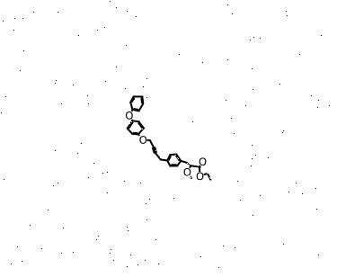 CCOC(=O)[C@H](Cc1ccc(CC#CCOc2ccc(Oc3ccccc3)cc2)cc1)OC